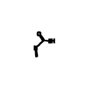 C=NC(=O)S